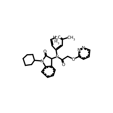 C=C(C)/C=C(\C=C/C)N(C(=O)COc1cccnn1)C1C(=O)N(C2CCCCC2)c2ccccc21